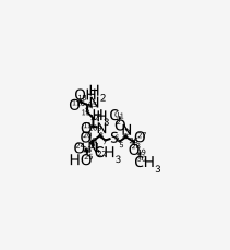 CCO/N=C(\CSCC(NC(=O)CCC(N)C(=O)O)C(=O)N(C)C(=O)O)C(=O)OCC